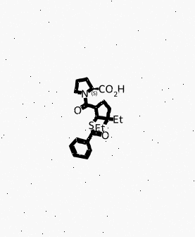 CCC1(CC)CCC(C(=O)N2CCC[C@H]2C(=O)O)C1SC(=O)c1ccccc1